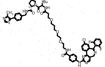 Cc1ncsc1-c1ccc(CNC(=O)[C@@H]2CCCN2C(=O)C(NC(=O)CCOCCCOCCOCCNC(=O)c2ccc(Nc3ncc4c(n3)-c3ccc(Cl)cc3C(c3c(F)cccc3F)=NC4)cc2)C(C)(C)C)cc1